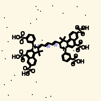 CC1(C)\C(=C/C=C/C=C/C2CN(c3cccc(S(=O)(=O)O)c3)c3cc(S(=O)(=O)O)c4cc(S(=O)(=O)O)ccc4c3C2(C)C)N(c2cccc(S(=O)(=O)O)c2)c2cc(S(=O)(=O)O)c3cc(S(=O)(=O)O)ccc3c21